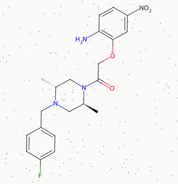 C[C@@H]1CN(C(=O)COc2cc([N+](=O)[O-])ccc2N)[C@@H](C)CN1Cc1ccc(F)cc1